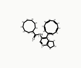 O=C(Nc1cnc2c(c1-c1ccccccccc1)CCC2)C1CCCCCCCC1